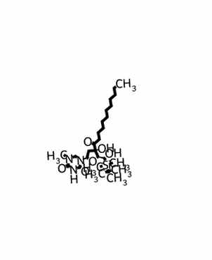 CCCCCCCCCCCC(=O)[C@]1(O)C[C@H](N2CN(C)C(=O)NC2=O)O[C@@H]1C(O)[Si](C)(C)C(C)(C)C